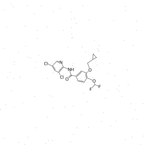 O=C(Nc1ncc(Cl)cc1Cl)c1ccc(OC(F)F)c(OCC2CC2)c1